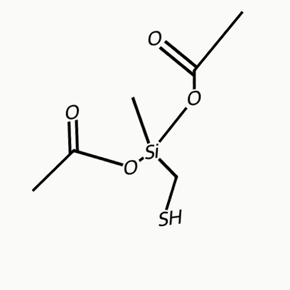 CC(=O)O[Si](C)(CS)OC(C)=O